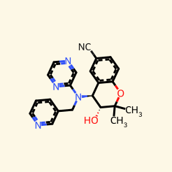 CC1(C)Oc2ccc(C#N)cc2[C@H](N(Cc2cccnc2)c2cnccn2)[C@H]1O